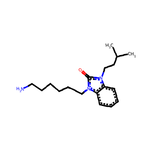 CC(C)CCn1c(=O)n(CCCCCCN)c2ccccc21